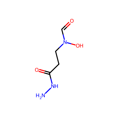 NNC(=O)CCN(O)C=O